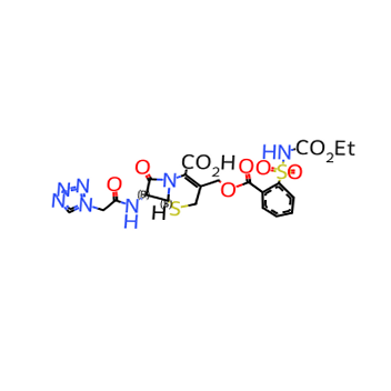 CCOC(=O)NS(=O)(=O)c1ccccc1C(=O)OCC1=C(C(=O)O)N2C(=O)[C@@H](NC(=O)Cn3cnnn3)[C@@H]2SC1